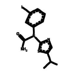 CC(C)c1cnc(N(C(N)=O)c2cccc(I)c2)s1